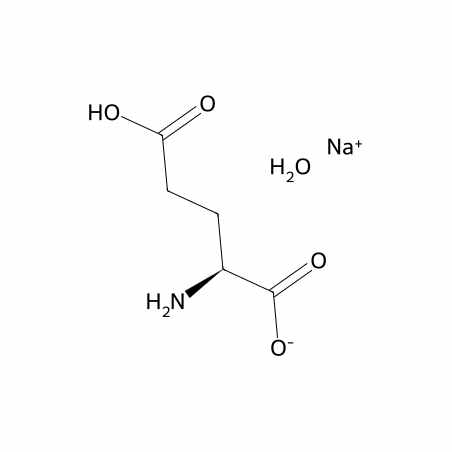 N[C@@H](CCC(=O)O)C(=O)[O-].O.[Na+]